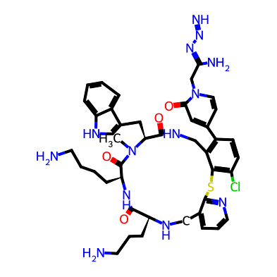 CN1C(=O)[C@H](CCCCN)NC(=O)[C@H](CCCN)NCc2cccnc2Sc2c(Cl)ccc(-c3ccn(C/C(N)=N/N=N)c(=O)c3)c2CNC(=O)[C@@H]1Cc1c[nH]c2ccccc12